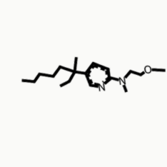 CCCCCC(C)(CC)c1ccc(N(C)CCOC)nc1